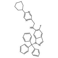 Fc1cc2cnn(C(c3ccccc3)(c3ccccc3)c3ccccc3)c2cc1NCc1cnc(C2CCCCC2)cn1